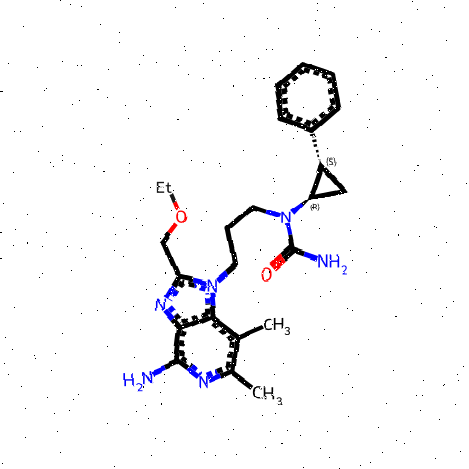 CCOCc1nc2c(N)nc(C)c(C)c2n1CCCN(C(N)=O)[C@@H]1C[C@H]1c1ccccc1